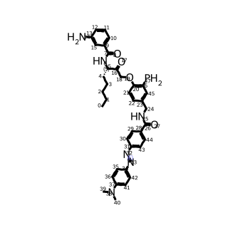 CCCCC[C@H](NC(=O)c1cccc(N)c1)C(=O)COc1ccc(CNC(=O)c2ccc(/N=N/c3ccc(N(C)C)cc3)cc2)cc1P